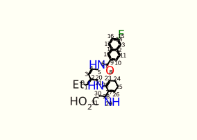 CC/C=C(\C=C/CNC(=O)c1ccc2cc(F)ccc2c1)CNC1=CCCC=C1C(=N)CC(=O)O